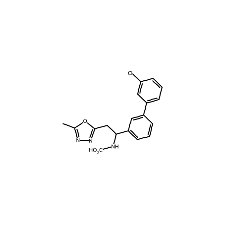 Cc1nnc(CC(NC(=O)O)c2cccc(-c3cccc(Cl)c3)c2)o1